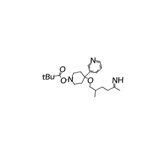 CC(=N)CCC(C)COC1(c2cccnc2)CCN(OC(=O)C(C)(C)C)CC1